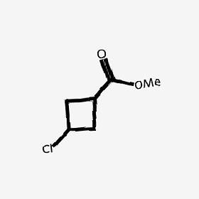 COC(=O)C1CC(Cl)C1